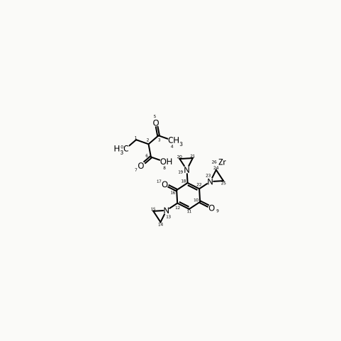 CCC(C(C)=O)C(=O)O.O=C1C=C(N2CC2)C(=O)C(N2CC2)=C1N1CC1.[Zr]